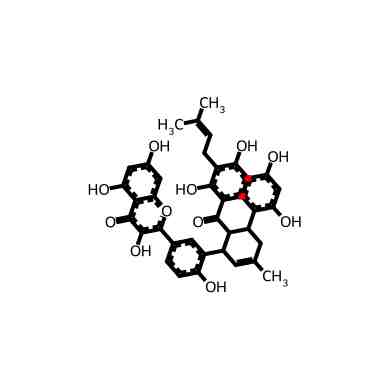 CC(C)=CCc1c(O)ccc(C(=O)C2C(c3cc(-c4oc5cc(O)cc(O)c5c(=O)c4O)ccc3O)C=C(C)CC2c2ccc(O)cc2O)c1O